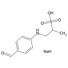 CC(CNc1ccc(C=O)cc1)S(=O)(=O)O.[NaH]